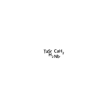 [CaH2].[Nb].[SrH2].[Ta]